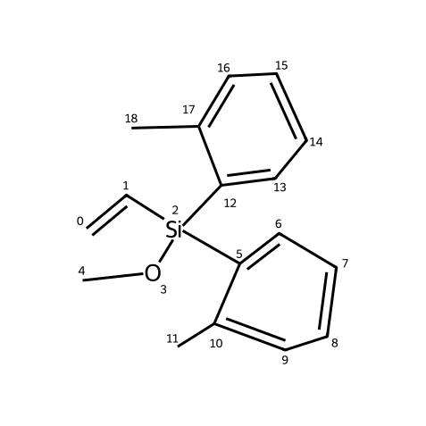 C=C[Si](OC)(c1ccccc1C)c1ccccc1C